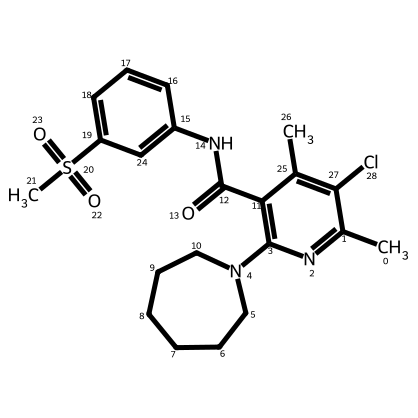 Cc1nc(N2CCCCCC2)c(C(=O)Nc2cccc(S(C)(=O)=O)c2)c(C)c1Cl